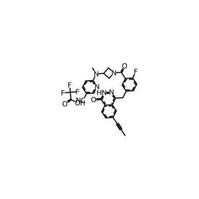 CC#Cc1ccc2c(=O)[nH]nc(Cc3ccc(F)c(C(=O)N4CC(N(C)c5ccc(C#N)cn5)C4)c3)c2c1.O=C(O)C(F)(F)F